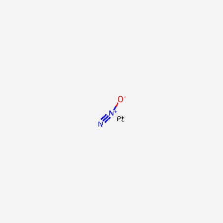 N#[N+][O-].[Pt]